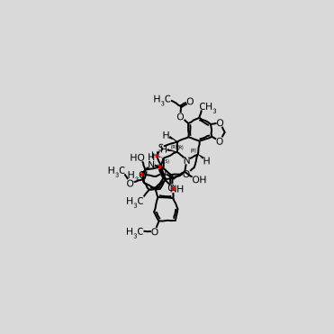 CCN1CC2(O)Cc3cc(C)c(OC)c(O)c3[C@H]1[C@@H]1[C@@H]3SC[C@]4(NCCc5c4[nH]c4ccc(OC)cc54)C(=O)OC[C@@H](c4c5c(c(C)c(OC(C)=O)c43)OCO5)N12